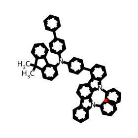 CC1(C)c2ccccc2-c2c(N(c3ccc(-c4ccccc4)cc3)c3ccc(-c4cccc5c4c4ccc6c7ccccc7n(-c7ccccc7)c6c4n5-c4ccccc4)cc3)cccc21